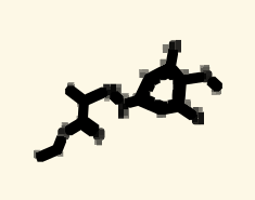 CCOC(=O)C(C)NNc1cc(Cl)c(OC)c(Cl)c1